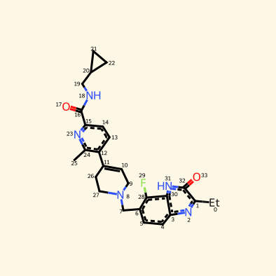 CCc1nc2ccc(CN3CC=C(c4ccc(C(=O)NCC5CC5)nc4C)CC3)c(F)c2[nH]c1=O